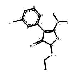 CCOC1OC(N(C)C)=C(c2cccc(I)c2)C1=O